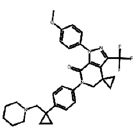 COc1ccc(-n2nc(C(F)(F)F)c3c2C(=O)N(c2ccc(C4(CN5CCCCC5)CC4)cc2)CC32CC2)cc1